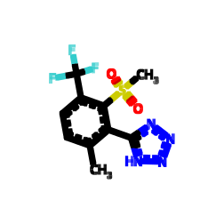 Cc1ccc(C(F)(F)F)c(S(C)(=O)=O)c1-c1nnn[nH]1